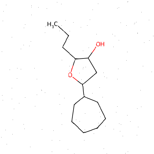 CCCC1OC(C2CCCCCC2)CC1O